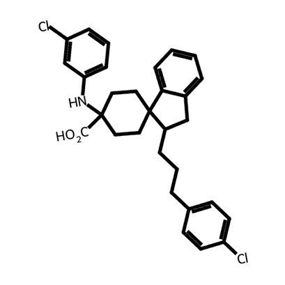 O=C(O)C1(Nc2cccc(Cl)c2)CCC2(CC1)c1ccccc1CC2CCCc1ccc(Cl)cc1